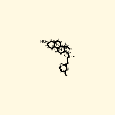 Cc1ccnc(CC[C@@H](C)[C@H]2CC[C@H]3[C@@H]4CC=C5C[C@@H](O)CC[C@]5(C)[C@H]4CC[C@]23C)n1